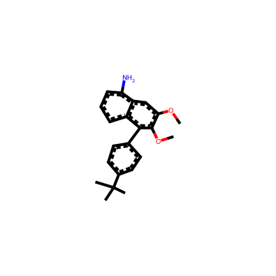 COc1cc2c(N)cccc2c(-c2ccc(C(C)(C)C)cc2)c1OC